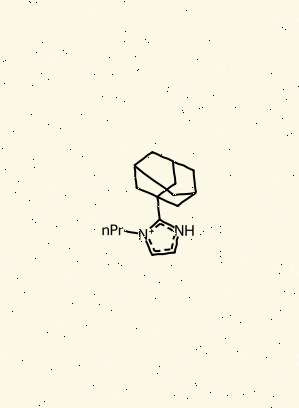 CCC[n+]1cc[nH]c1C12CC3CC(CC(C3)C1)C2